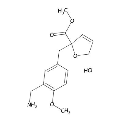 COC(=O)C1(Cc2ccc(OC)c(CN)c2)C=CCO1.Cl